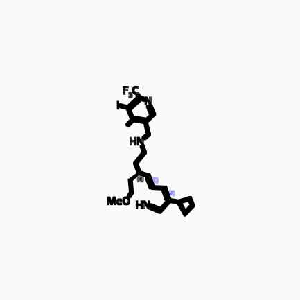 COCC[C@H](/C=C/C=C(\C=N)C1CCC1)CCNCc1cnc(C(F)(F)F)c(I)c1C